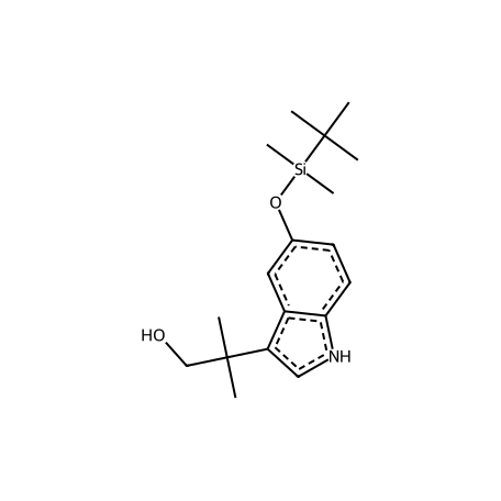 CC(C)(CO)c1c[nH]c2ccc(O[Si](C)(C)C(C)(C)C)cc12